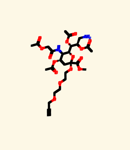 C#CCOCCOCCO[C@]1(C(=O)OC)C[C@H](OC(C)=O)[C@@H](NC(=O)COC(C)=O)[C@H]([C@H](OC(C)=O)[C@@H](CN)OC(C)=O)O1